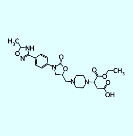 CCOC(=O)C(CC(=O)O)N1CCN(CC2CN(c3ccc(C4=NOC(C)N4)cc3)C(=O)O2)CC1